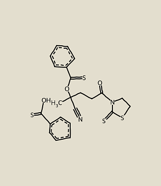 CC(C#N)(CCC(=O)N1CCSC1=S)OC(=S)c1ccccc1.OC(=S)c1ccccc1